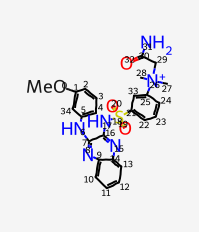 COc1cccc(Nc2nc3ccccc3nc2NS(=O)(=O)c2cccc([N+](C)(C)CC(N)=O)c2)c1